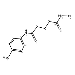 COc1ccc(NC(=O)CCCC(=O)NO)cc1